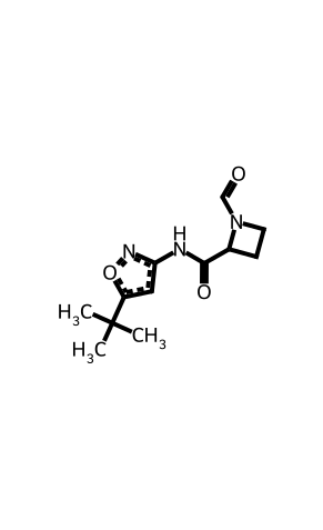 CC(C)(C)c1cc(NC(=O)C2CCN2C=O)no1